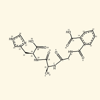 C[C@H](NC(=O)CNC(=O)c1ccccc1C(=O)O)C(=O)N[C@@H](Cc1c[nH]cn1)C(=O)O